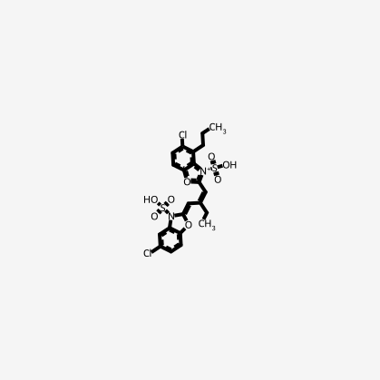 CCCc1c(Cl)ccc2oc(C=C(C=C3Oc4ccc(Cl)cc4N3S(=O)(=O)O)CC)[n+](S(=O)(=O)O)c12